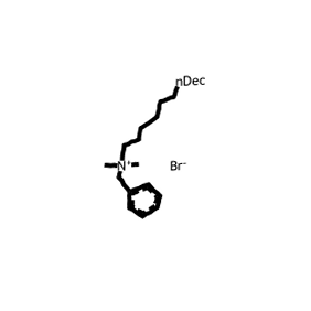 CCCCCCCCCCCCCCCC[N+](C)(C)Cc1ccccc1.[Br-]